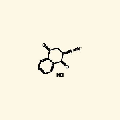 Cl.[N-]=[N+]=C1CC(=O)c2ccccc2C1=O